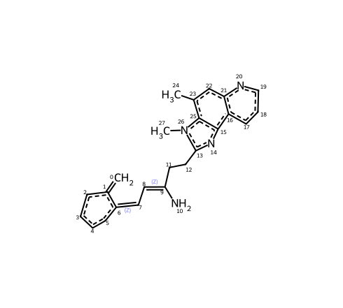 C=c1cccc/c1=C/C=C(\N)CCc1nc2c3cccnc3cc(C)c2n1C